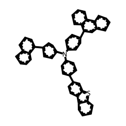 c1ccc2c(-c3ccc(N(c4ccc(-c5ccc6c(c5)sc5ccccc56)cc4)c4ccc(-c5cc6ccccc6c6ccccc56)cc4)cc3)cccc2c1